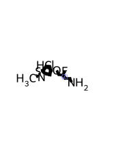 Cc1nc2cc(OC/C(F)=C/CN)ccc2s1.Cl